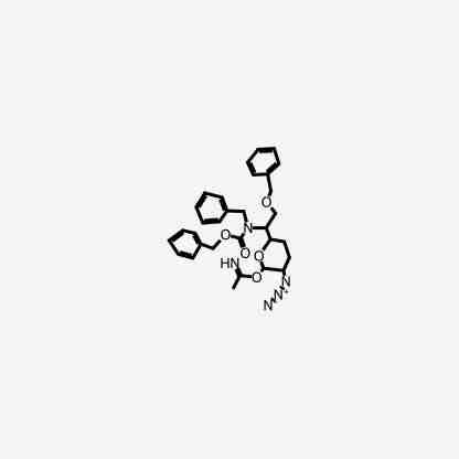 CC(=N)OC1OC(C(COCc2ccccc2)N(Cc2ccccc2)C(=O)OCc2ccccc2)CCC1N=[N+]=[N-]